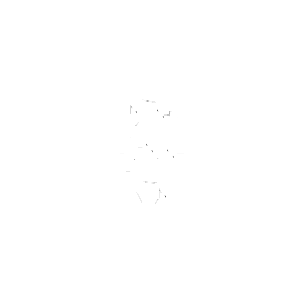 O=C1NC=C[N+](=O)C1C1CNC(Cc2ccccn2)(CC(F)(F)F)N1